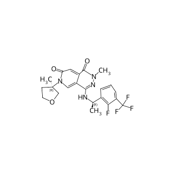 C[C@@H](Nc1nn(C)c(=O)c2cc(=O)n([C@]3(C)CCOC3)cc12)c1cccc(C(F)(F)F)c1F